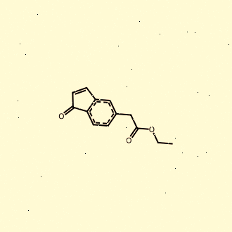 CCOC(=O)Cc1ccc2c(c1)C=CC2=O